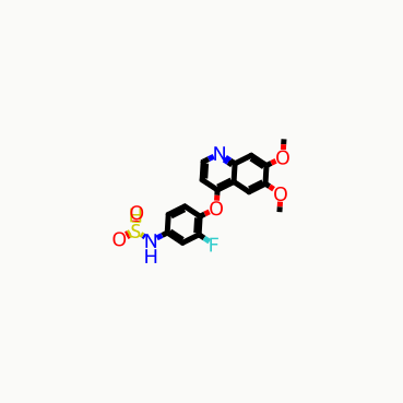 COc1cc2nccc(Oc3ccc(N[SH](=O)=O)cc3F)c2cc1OC